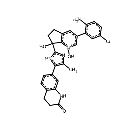 Cc1nc(C2(O)CCc3cc(-c4cc(Cl)ccc4N)c[n+](O)c32)[nH]c1-c1ccc2c(c1)NC(=O)CC2